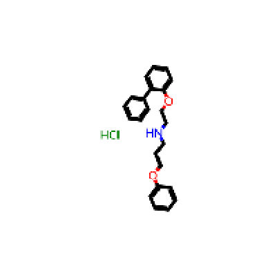 Cl.c1ccc(OCCCNCCOc2ccccc2-c2ccccc2)cc1